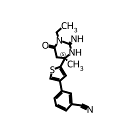 CCN1C(=N)N[C@](C)(c2cc(-c3cccc(C#N)c3)cs2)CC1=O